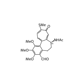 COc1c(C=O)c2c(c(OC)c1OC)-c1ccc(SC)c(=O)cc1[C@@H](NC(C)=O)CC2